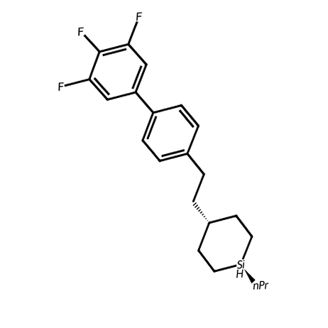 CCC[Si@H]1CC[C@H](CCc2ccc(-c3cc(F)c(F)c(F)c3)cc2)CC1